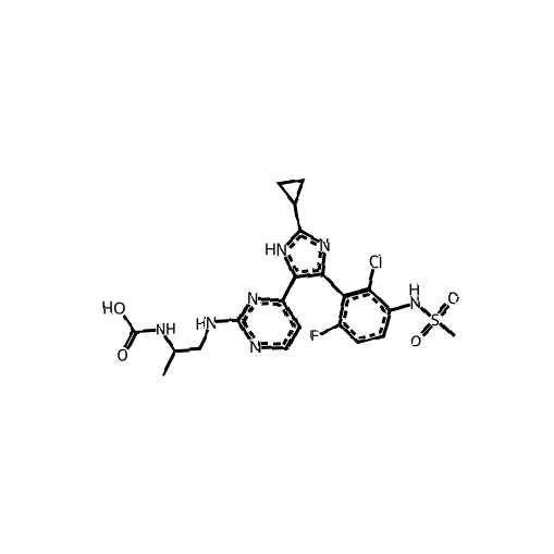 CC(CNc1nccc(-c2[nH]c(C3CC3)nc2-c2c(F)ccc(NS(C)(=O)=O)c2Cl)n1)NC(=O)O